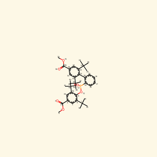 COC(=O)c1cc(C(C)(C)C)c(OP(O)c2ccccc2-c2c(C(C)(C)C)cc(C(=O)OC)cc2C(C)(C)C)c(C(C)(C)C)c1